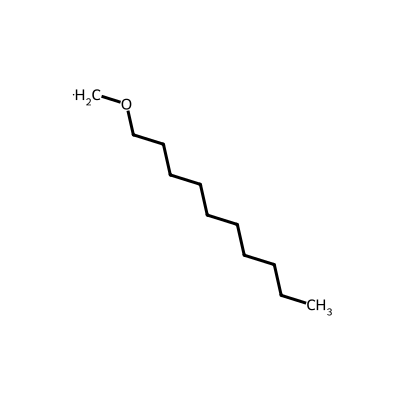 [CH2]OCCCCCCCCCC